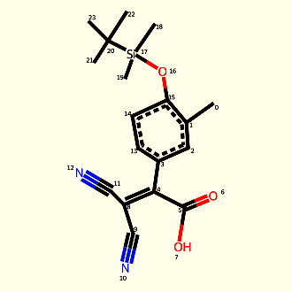 Cc1cc(C(C(=O)O)=C(C#N)C#N)ccc1O[Si](C)(C)C(C)(C)C